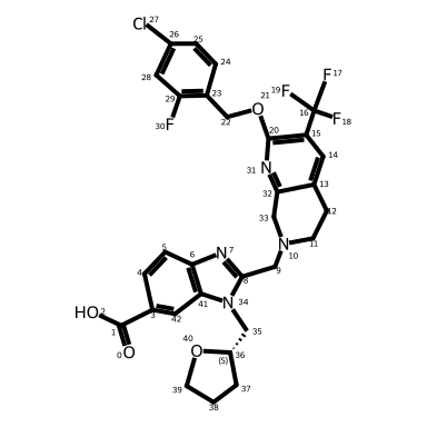 O=C(O)c1ccc2nc(CN3CCc4cc(C(F)(F)F)c(OCc5ccc(Cl)cc5F)nc4C3)n(C[C@@H]3CCCO3)c2c1